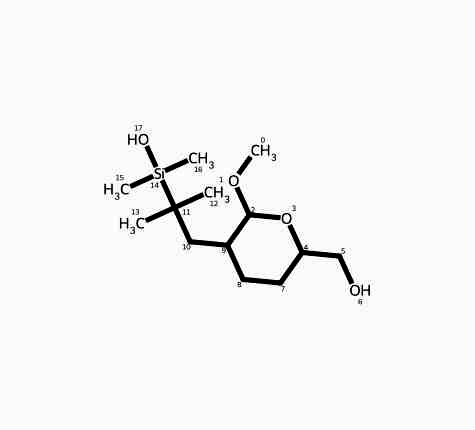 COC1OC(CO)CCC1CC(C)(C)[Si](C)(C)O